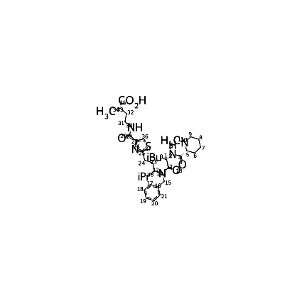 CC[C@H](C)[C@H](NC(=O)[C@H]1CCCCN1C)C(=O)N(Cc1ccccc1)[C@H](CCc1nc(C(=O)NCC[C@H](C)C(=O)O)cs1)C(C)C